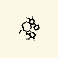 CC[C@@H]1/C=C/COc2c(ccc(F)c2Cl)[C@H](c2ccccc2C)N2CN1C(=O)c1c(O)c(=O)ccn12